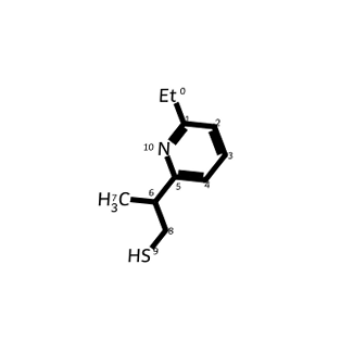 CCc1cccc(C(C)CS)n1